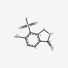 CS(=O)(=O)c1c(O)ccc2c1COC2=O